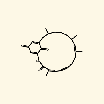 CC1=CC(C)CCCC(C)CC2=CC(=O)C=C(NC(=O)C(C)=CC=CC[CH]1)C2=O